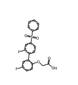 O=C(O)COc1ccc(F)cc1-c1ccc(S(=O)(=O)c2ccccc2)cc1F